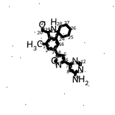 Cc1cc(-c2cc(-c3cc(N)ncn3)no2)cc2c1C(C=O)NC21CCCCC1